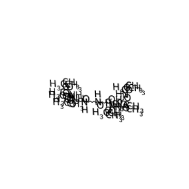 CC(C)(C)OC(=O)CC[C@H](NC(=O)N[C@@H](CCCCNC(=O)CCCCCNC(=O)CCc1ccc(O)c(CN(CCNC(CC(=O)OC(C)(C)C)c2cc(CCC(=O)NCC(=O)OC(C)(C)C)ccc2O)CC(=O)OC(C)(C)C)c1)C(=O)OC(C)(C)C)C(=O)OC(C)(C)C